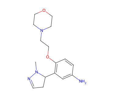 CN1N=CCC1c1cc(N)ccc1OCCN1CCOCC1